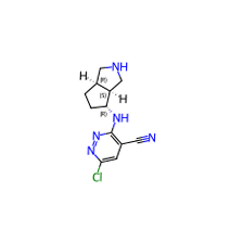 N#Cc1cc(Cl)nnc1N[C@@H]1CC[C@H]2CNC[C@H]21